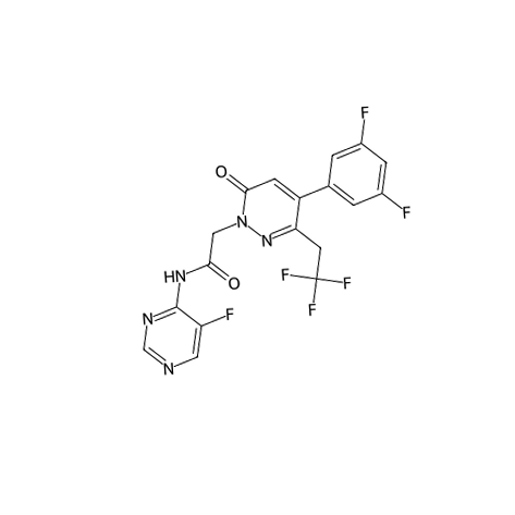 O=C(Cn1nc(CC(F)(F)F)c(-c2cc(F)cc(F)c2)cc1=O)Nc1ncncc1F